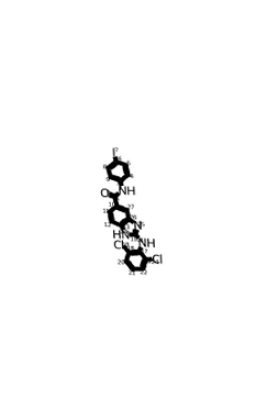 O=C(Nc1ccc(I)cc1)c1ccc2[nH]c(Nc3c(Cl)cccc3Cl)nc2c1